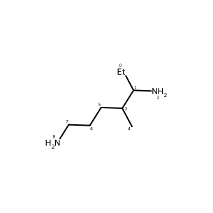 CCC(N)C(C)CCCN